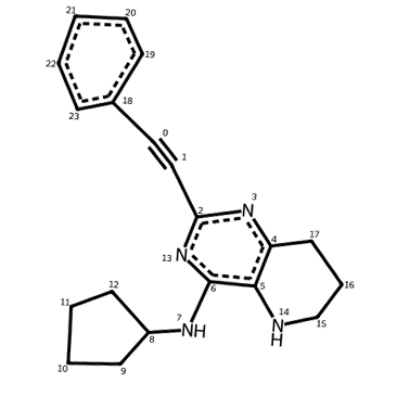 C(#Cc1nc2c(c(NC3CCCC3)n1)NCCC2)c1ccccc1